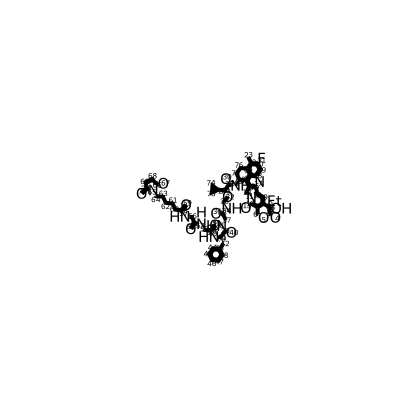 CC[C@@]1(O)C(=O)OCc2c1cc1n(c2=O)Cc2c-1nc1cc(F)c(C)c3c1c2[C@@H](NC(=O)[C@H](OCNC(=O)CNC(=O)[C@H](Cc1ccccc1)NC(=O)CNC(=O)CNC(=O)CCCCCN1C(=O)C=CC1=O)C1CC1)CC3